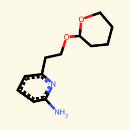 Nc1cccc(CCOC2CCCCO2)n1